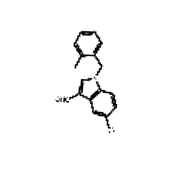 Cc1ccccc1Cn1cc(C=O)c2cc(C#N)ccc21